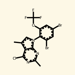 Cc1nc(Cl)c2c(C)cn(-c3c(Br)cc(Br)cc3OC(F)(F)F)c2n1